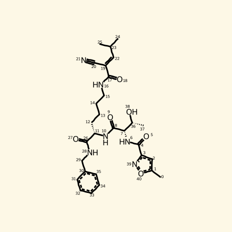 Cc1cc(C(=O)N[C@H](C(=O)N[C@@H](CCCCNC(=O)C(C#N)=CC(C)C)C(=O)NCc2ccccc2)[C@@H](C)O)no1